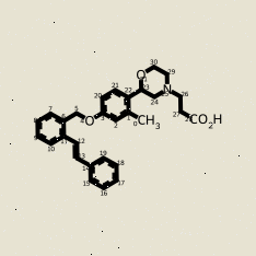 Cc1cc(OCc2ccccc2C=Cc2ccccc2)ccc1C1CN(CCC(=O)O)CCO1